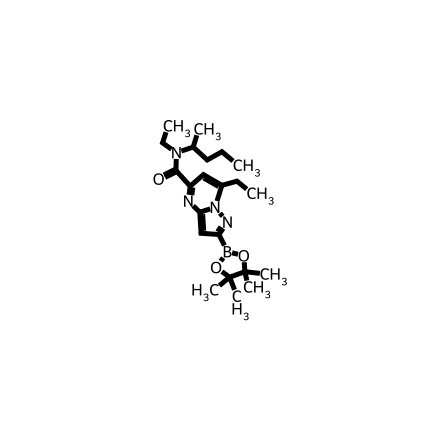 CCCC(C)N(CC)C(=O)c1cc(CC)n2nc(B3OC(C)(C)C(C)(C)O3)cc2n1